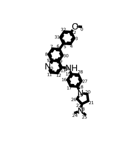 COc1ccc(-c2ccc3nccc(Nc4ccc(N5CCC(N(C)C)C5)cc4)c3c2)cc1